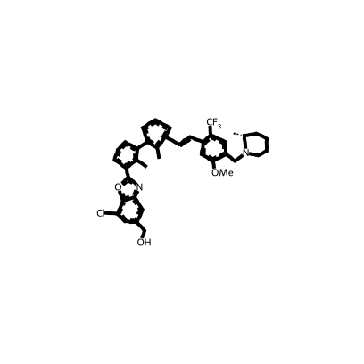 COc1cc(/C=C/c2cccc(-c3cccc(-c4nc5cc(CO)cc(Cl)c5o4)c3C)c2C)c(C(F)(F)F)cc1CN1CCCC[C@H]1C